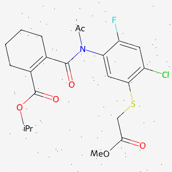 COC(=O)CSc1cc(N(C(C)=O)C(=O)C2=C(C(=O)OC(C)C)CCCC2)c(F)cc1Cl